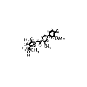 COc1cc(N2CCN(C(=O)Cn3nc(C(C)(C)O)c(Cl)c3C)C(C)C2)ccc1Cl